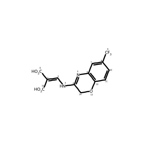 O=C(O)C(=CNC1=Nc2cc(C(F)(F)F)ccc2OC1)C(=O)O